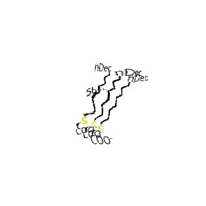 CCCCCCCCCCCCCCCCCCSCC(=O)[O-].CCCCCCCCCCCCCCCCCCSCC(=O)[O-].CCCCCCCCCCCCCCCCCCSCC(=O)[O-].[Sb+3]